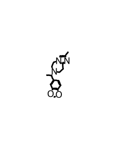 Cc1cn2c(n1)CCN(C(C)c1ccc3c(c1)OCO3)CC2